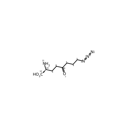 [N-]=[N+]=NCCCC(=O)CC[C@H](N)C(=O)O